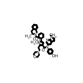 C[C@@H]1Cc2ccccc2CN1C(=O)C1(Cl)C=CC=CC1c1cc(C(=O)N(c2ccc(O)cc2)c2cnc3c(ccn3C)c2)c(CCN2CCOCC2)n1C